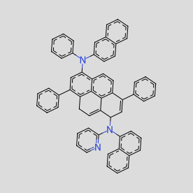 C1=C(c2ccccc2)c2ccc3c(N(c4ccccc4)c4ccc5ccccc5c4)cc(-c4ccccc4)c4c3c2C(=CC4)C1N(c1ccccn1)c1cccc2ccccc12